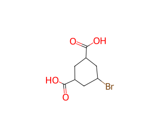 O=C(O)C1CC(Br)CC(C(=O)O)C1